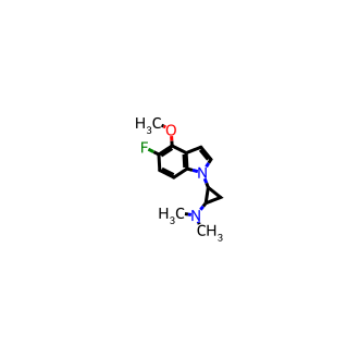 COc1c(F)ccc2c1ccn2C1CC1N(C)C